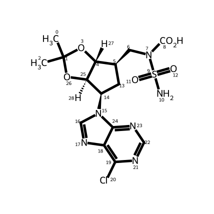 CC1(C)O[C@@H]2[C@@H](CN(C(=O)O)S(N)(=O)=O)C[C@@H](n3cnc4c(Cl)ncnc43)[C@H]2O1